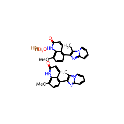 Br.Br.COc1ccc(-c2nc3ccccn3c2C)c2ccc(=O)[nH]c12.COc1ccc(-c2nc3ccccn3c2C)c2ccc(=O)[nH]c12.O